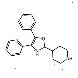 c1ccc(C2=C(c3ccccc3)OC(C3CCNCC3)N2)cc1